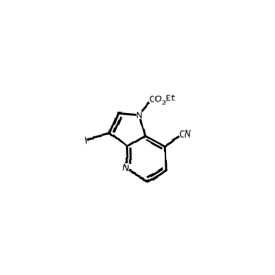 CCOC(=O)n1cc(I)c2nccc(C#N)c21